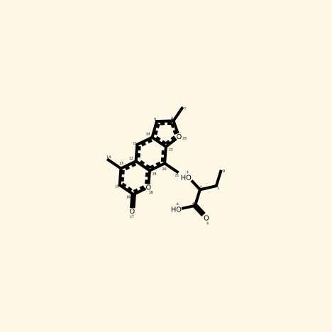 CCC(O)C(=O)O.Cc1cc2cc3c(C)cc(=O)oc3c(C)c2o1